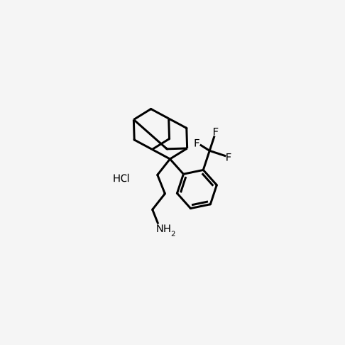 Cl.NCCCC1(c2ccccc2C(F)(F)F)C2CC3CC(C2)CC1C3